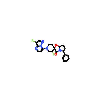 O=C1N2C(CCC2c2ccccc2)OC12CCN(c1ccnc3c(F)cnn13)CC2F